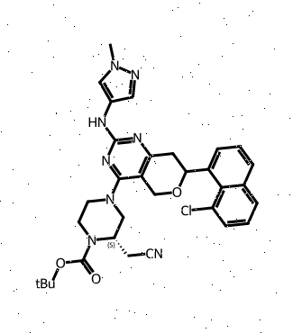 Cn1cc(Nc2nc3c(c(N4CCN(C(=O)OC(C)(C)C)[C@@H](CC#N)C4)n2)COC(c2cccc4cccc(Cl)c24)C3)cn1